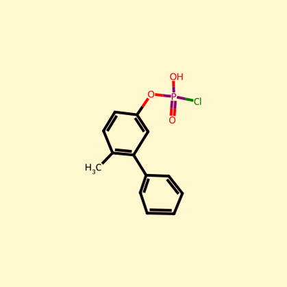 Cc1ccc(OP(=O)(O)Cl)cc1-c1ccccc1